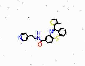 Cc1ccsc1C1=Nc2cc(C(=O)NCCc3ccncc3)ccc2Sc2ccccc21